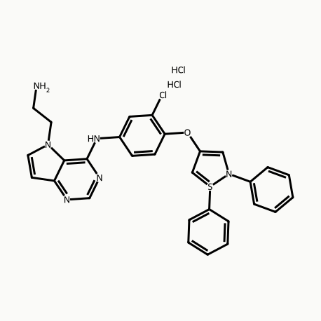 Cl.Cl.NCCn1ccc2ncnc(Nc3ccc(OC4=CN(c5ccccc5)S(c5ccccc5)=C4)c(Cl)c3)c21